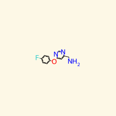 NCc1cc(Oc2ccc(F)cc2)ncn1